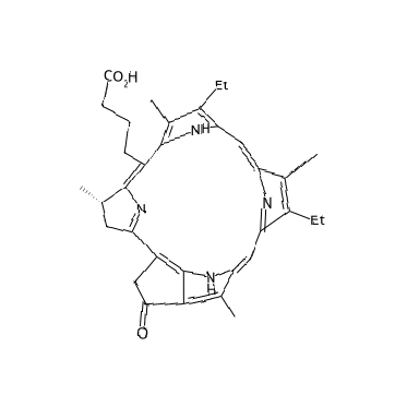 CCC1=C(C)c2cc3[nH]c(c(C)c3CC)c(CCCC(=O)O)c3nc(c4c5[nH]c(cc1n2)c(C)c5C(=O)C4)C[C@@H]3C